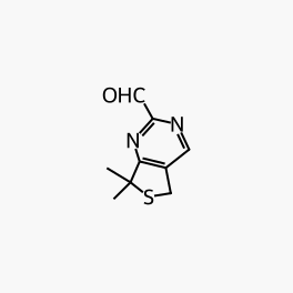 CC1(C)SCc2cnc(C=O)nc21